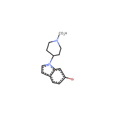 O=C(O)N1CCC(n2ccc3ccc(Br)cc32)CC1